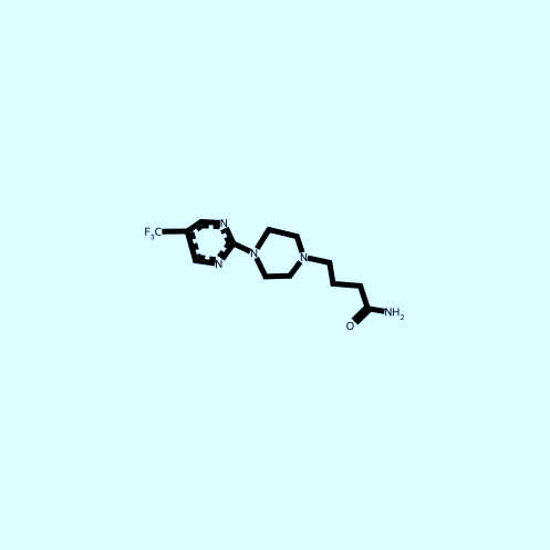 NC(=O)CCCN1CCN(c2ncc(C(F)(F)F)cn2)CC1